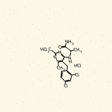 Cc1nc(C(=O)O)nc(NC(C)C(N)=O)c1Cc1ccc(Cl)cc1Cl.Cl